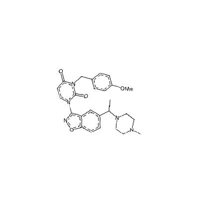 COc1ccc(Cn2c(=O)ccn(-c3noc4ccc(C(C)N5CCN(C)CC5)cc34)c2=O)cc1